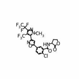 Cn1nc(C(F)(F)C(F)(F)F)c(C(F)(F)F)c1-c1cc(-c2ccc(Cl)c(C(=O)NC3CCOC3=O)c2)on1